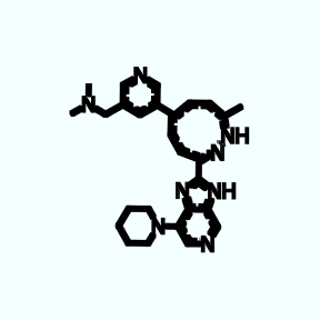 Cc1ccc(-c2cncc(CN(C)C)c2)ccc(-c2nc3c(N4CCCCC4)cncc3[nH]2)n[nH]1